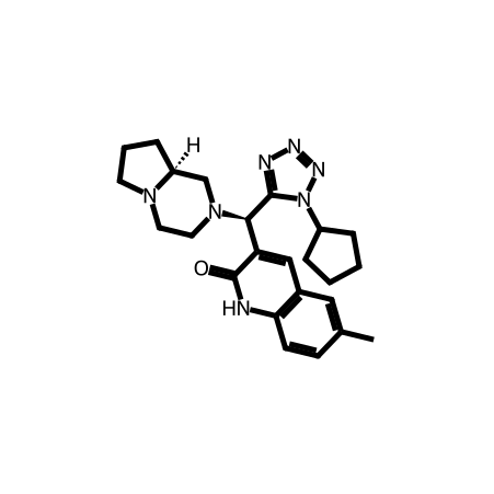 Cc1ccc2[nH]c(=O)c([C@H](c3nnnn3C3CCCC3)N3CCN4CCC[C@H]4C3)cc2c1